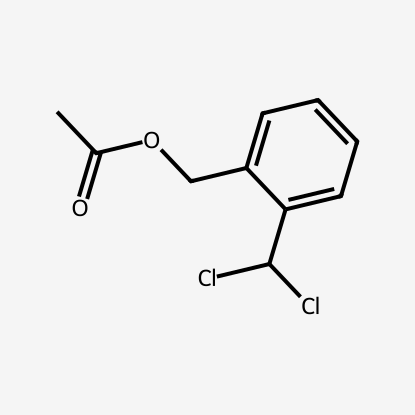 CC(=O)OCc1ccccc1C(Cl)Cl